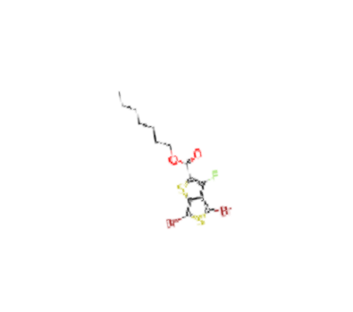 CCCCCCCOC(=O)c1sc2c(Br)sc(Br)c2c1F